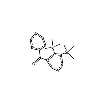 C[Si](C)(C)c1cccc(C(=O)c2ccccc2)c1[Si](C)(C)C